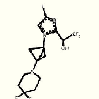 OC(c1nc(I)cn1C12CC(N3CCC(F)(F)CC3)(C1)C2)C(F)(F)F